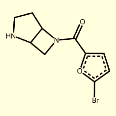 O=C(c1ccc(Br)o1)N1CC2NCCC21